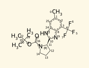 Cc1cc(C(F)(F)F)c2nc([C@H]3CCCN3C(=O)OC(C)(C)C)[nH]c2c1